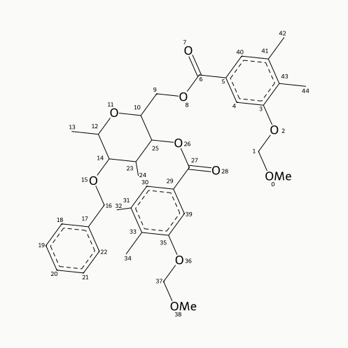 COCOc1cc(C(=O)OCC2OC(C)C(OCc3ccccc3)C(C)C2OC(=O)c2cc(C)c(C)c(OCOC)c2)cc(C)c1C